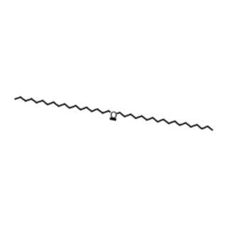 C=C.CCCCCCCCCCCCCCCCCCOCCCCCCCCCCCCCCCCCC